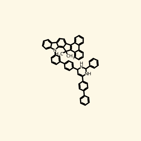 CC1(C)c2c(c3ccccc3c3ccccc23)-c2ccc3c4ccccc4n(-c4cccc(-c5ccc(C6C=C(c7ccc(-c8ccccc8)cc7)NC(c7ccccc7)N6)cc5)c4)c3c21